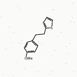 COc1ccc(CCc2cccs2)cc1